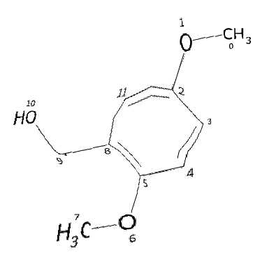 COc1ccc(OC)c([CH]O)c1